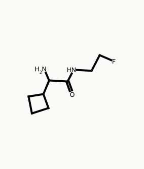 NC(C(=O)NCCF)C1CCC1